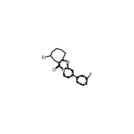 CCC1CCCCc2nc3cc(-c4cccc(F)c4)ccn3c(=O)c2C1